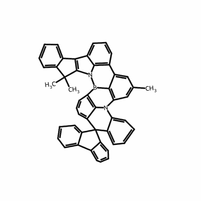 Cc1cc2c3c(c1)N1c4ccccc4C4(c5ccccc5-c5ccccc54)c4cccc(c41)B3n1c3c(c4cccc-2c41)-c1ccccc1C3(C)C